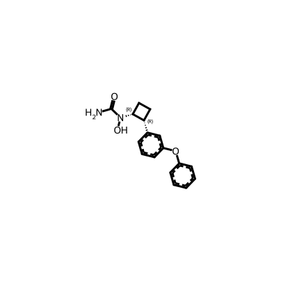 NC(=O)N(O)[C@@H]1CC[C@@H]1c1cccc(Oc2ccccc2)c1